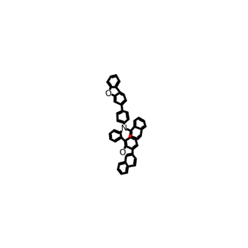 c1ccc(N(c2ccc(-c3ccc4c(c3)oc3ccccc34)cc2)c2cccc3ccccc23)c(-c2cccc3c2oc2c4ccccc4ccc32)c1